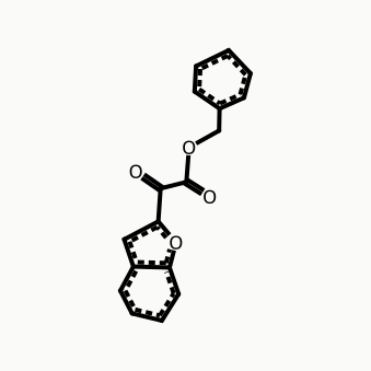 O=C(OCc1ccccc1)C(=O)c1cc2ccccc2o1